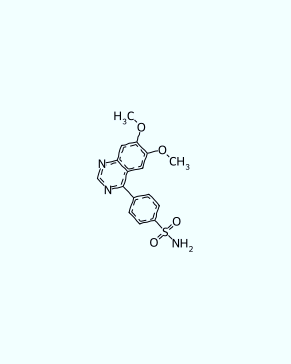 COc1cc2ncnc(-c3ccc(S(N)(=O)=O)cc3)c2cc1OC